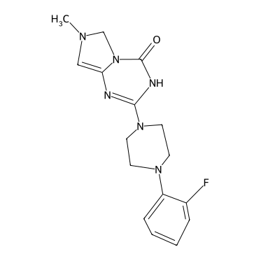 CN1C=C2N=C(N3CCN(c4ccccc4F)CC3)NC(=O)N2C1